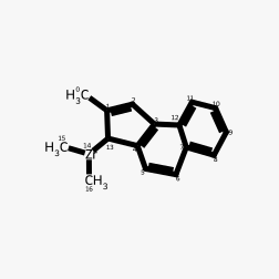 CC1=Cc2c(ccc3ccccc23)[CH]1[Zr]([CH3])[CH3]